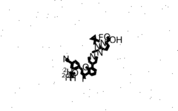 [2H]C([2H])([2H])Oc1cc(C#N)ccc1C1C=C(F)c2cccc(C3CCN(Cc4nc5ccc(C(=O)O)nc5n4CC4(CF)CC4)CC3)c2O1